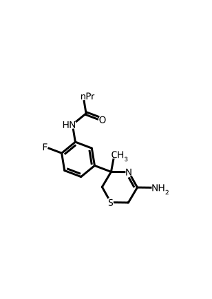 CCCC(=O)Nc1cc(C2(C)CSCC(N)=N2)ccc1F